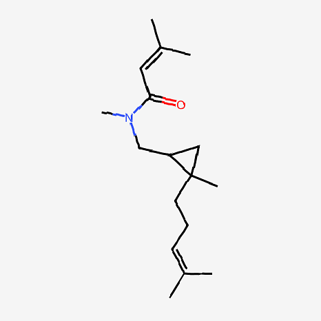 CC(C)=CCCC1(C)CC1CN(C)C(=O)C=C(C)C